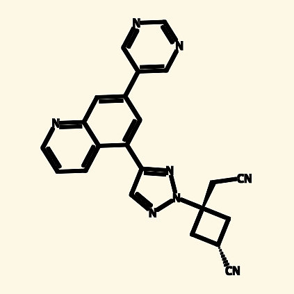 N#CC[C@]1(n2ncc(-c3cc(-c4cncnc4)cc4ncccc34)n2)C[C@@H](C#N)C1